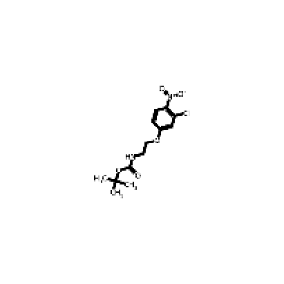 CC(C)(C)OC(=O)NCCOc1ccc([N+](=O)[O-])c(Cl)c1